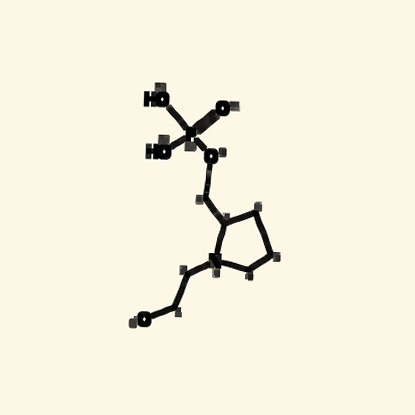 [O]CCN1CCCC1COP(=O)(O)O